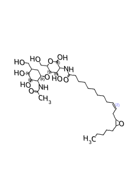 CCCCCC1OC1C/C=C\CCCCCCCCC(=O)NC1[C@H](O)OC(CO)[C@@H](O[C@@H]2CC(CO)[C@@H](O)[C@H](O)C2NC(C)=O)[C@@H]1O